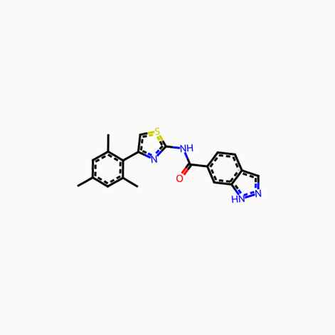 Cc1cc(C)c(-c2csc(NC(=O)c3ccc4cn[nH]c4c3)n2)c(C)c1